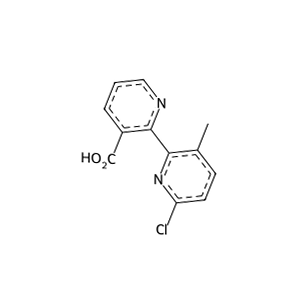 Cc1ccc(Cl)nc1-c1ncccc1C(=O)O